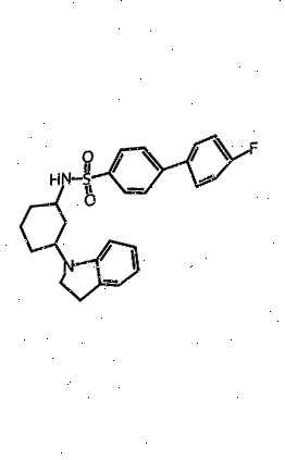 O=S(=O)(NC1CCCC(N2CCc3ccccc32)C1)c1ccc(-c2ccc(F)cc2)cc1